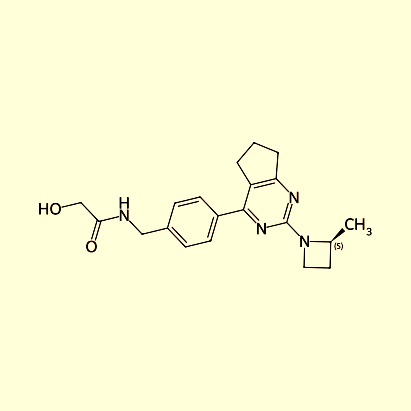 C[C@H]1CCN1c1nc2c(c(-c3ccc(CNC(=O)CO)cc3)n1)CCC2